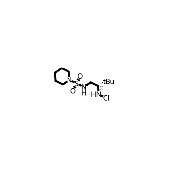 CC(C)(C)[C@@H](CNS(=O)(=O)N1CCCCC1)NCl